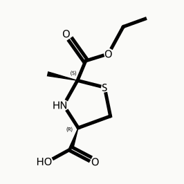 CCOC(=O)[C@@]1(C)N[C@H](C(=O)O)CS1